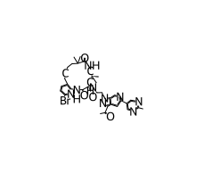 CC(=O)c1nn(CC(=O)N2C[C@@]3(C)CNC(=O)C(C)(C)CCCCc4ccc(Br)nc4NC(=O)[C@@H]2C3)c2cnc(-c3cnc(C)nc3)cc12